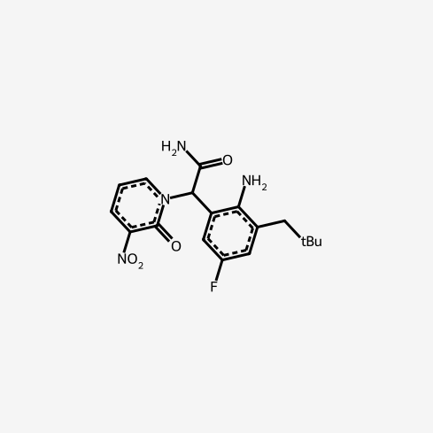 CC(C)(C)Cc1cc(F)cc(C(C(N)=O)n2cccc([N+](=O)[O-])c2=O)c1N